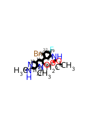 C=C(C)OC(=O)Nc1cc(-c2cc3cnc(NC)cc3n(CC)c2=O)c(Br)cc1F